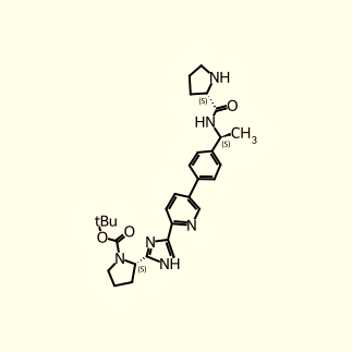 C[C@H](NC(=O)[C@@H]1CCCN1)c1ccc(-c2ccc(-c3c[nH]c([C@@H]4CCCN4C(=O)OC(C)(C)C)n3)nc2)cc1